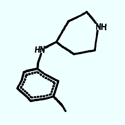 Cc1cccc(NC2CCNCC2)c1